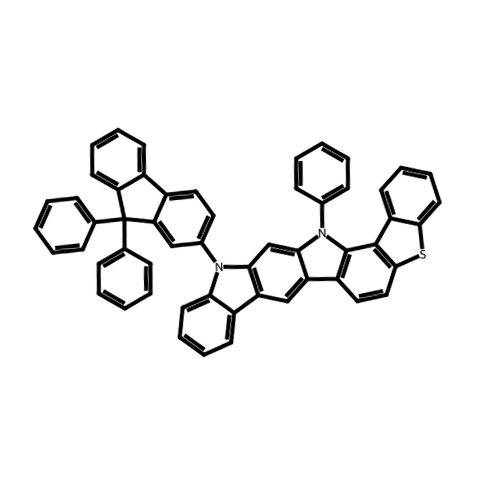 c1ccc(-n2c3cc4c(cc3c3ccc5sc6ccccc6c5c32)c2ccccc2n4-c2ccc3c(c2)C(c2ccccc2)(c2ccccc2)c2ccccc2-3)cc1